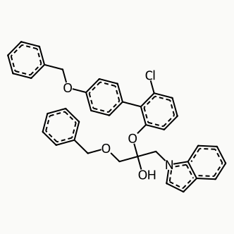 OC(COCc1ccccc1)(Cn1ccc2ccccc21)Oc1cccc(Cl)c1-c1ccc(OCc2ccccc2)cc1